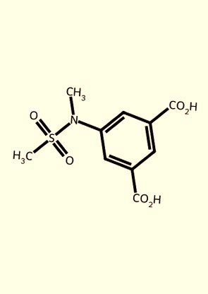 CN(c1cc(C(=O)O)cc(C(=O)O)c1)S(C)(=O)=O